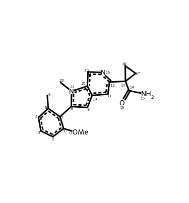 COc1cccc(C)c1-c1cc2cc(C3(C(N)=O)CC3)ncc2n1C